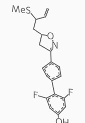 C=CC(CC1CC(c2ccc(-c3c(F)cc(O)cc3F)cc2)=NO1)SC